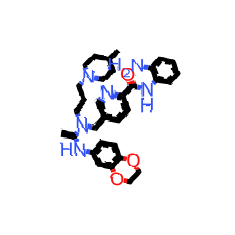 C=C(Nc1ccc2c(c1)OCCO2)N(CCCN1CCC(C)CC1)Cc1ccc(C(=O)Nc2ccccc2N)nc1